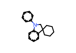 c1ccc(N2CC3(CCCCC3)c3ccccc32)cc1